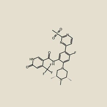 C[C@@H]1CN(c2cc(F)c(-c3ccnc(S(C)(=O)=O)n3)cc2NC(=O)c2c[nH]c(=O)cc2C(F)(F)F)C[C@H](C)N1C